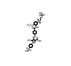 COc1ccc(S(=O)(=O)CCOS(=O)(=O)O)cc1NC(=O)c1ccc(/N=N/c2c(C(=O)O)nn(-c3ccc(S(=O)(=O)O)cc3)c2O)cc1